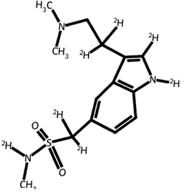 [2H]c1c(C([2H])([2H])CN(C)C)c2cc(C([2H])([2H])S(=O)(=O)N([2H])C)ccc2n1[2H]